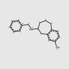 Oc1ccc2c(c1)CC(NCc1ccccc1)CCC2